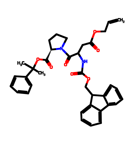 C=CCOC(=O)CC(NC(=O)OCC1c2ccccc2-c2ccccc21)C(=O)N1CCC[C@H]1C(=O)OC(C)(C)c1ccccc1